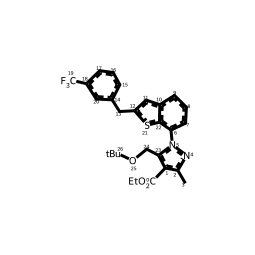 CCOC(=O)c1c(C)nn(-c2cccc3cc(Cc4cccc(C(F)(F)F)c4)sc23)c1COC(C)(C)C